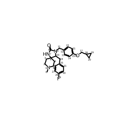 CN1CCC2(CC1)NC(=O)N(Cc1ccc(OCC3CC3)cc1)C2Cc1ccc(F)cc1